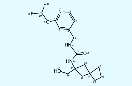 O=C(NCc1ccnc(OC(F)F)c1)NC1(CO)CC2(CCC2)C1